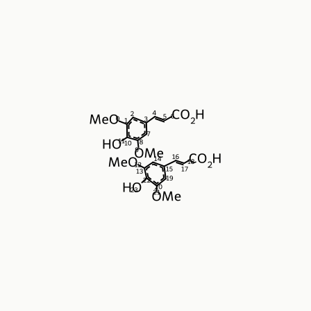 COc1cc(C=CC(=O)O)cc(OC)c1O.COc1cc(C=CC(=O)O)cc(OC)c1O